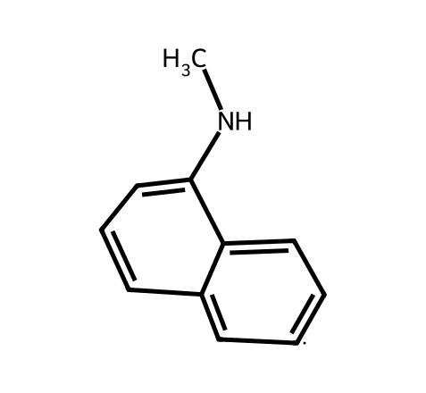 CNc1cccc2c[c]ccc12